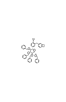 c1ccc(COC[C@H]2O[C@@H](c3ccc(C4CC4)c(Cc4ccc5c(c4)CC5)c3)[C@H](OCc3ccccc3)[C@@H](OCc3ccccc3)[C@@H]2OCc2ccccc2)cc1